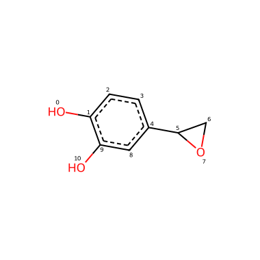 Oc1ccc(C2CO2)cc1O